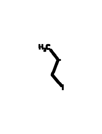 C[CH]CI